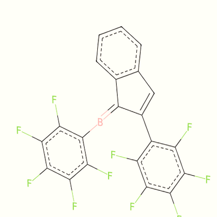 Fc1c(F)c(F)c(B=C2C(c3c(F)c(F)c(F)c(F)c3F)=Cc3ccccc32)c(F)c1F